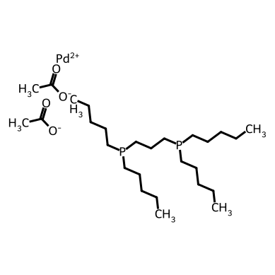 CC(=O)[O-].CC(=O)[O-].CCCCCP(CCCCC)CCCP(CCCCC)CCCCC.[Pd+2]